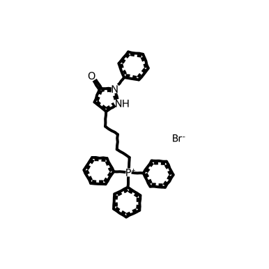 O=c1cc(CCCC[P+](c2ccccc2)(c2ccccc2)c2ccccc2)[nH]n1-c1ccccc1.[Br-]